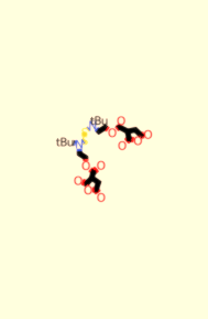 CC(C)(C)N(CCOC(=O)C1CC(=O)OC1=O)SSN(CCOC(=O)C1CC(=O)OC1=O)C(C)(C)C